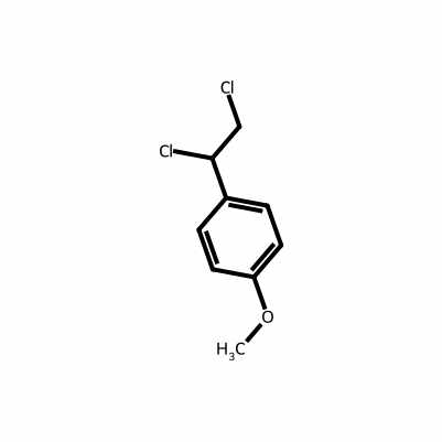 COc1ccc(C(Cl)CCl)cc1